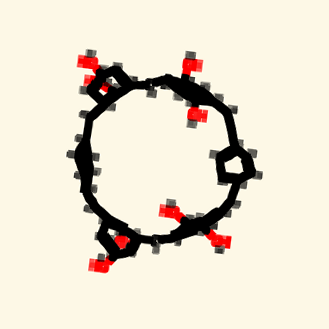 Oc1cc2c(O)c(c1)Cc1cc(O)c(cc1O)Cc1ccc(cc1)Cc1cc(O)c(cc1O)Cc1cc(O)cc(c1O)Cc1ccc(cc1)C2